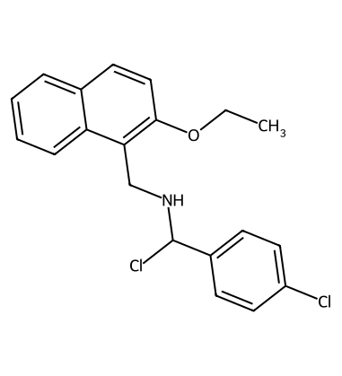 CCOc1ccc2ccccc2c1CNC(Cl)c1ccc(Cl)cc1